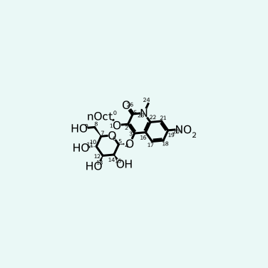 CCCCCCCCOc1c(O[C@H]2O[C@H](CO)[C@@H](O)[C@H](O)[C@@H]2O)c2ccc([N+](=O)[O-])cc2n(C)c1=O